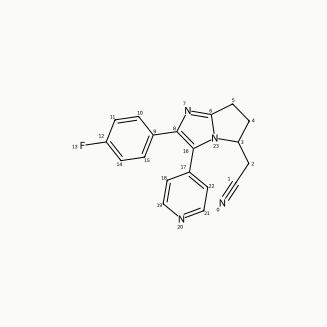 N#CCC1CCc2nc(-c3ccc(F)cc3)c(-c3ccncc3)n21